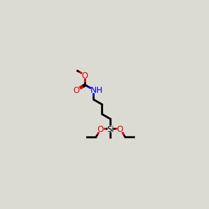 CCO[Si](C)(CCCCNC(=O)OC)OCC